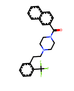 O=C(c1ccc2ccccc2c1)N1CCN(CCc2ccccc2C(F)(F)F)CC1